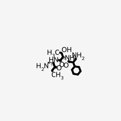 CCC(=O)[C@H](CN)NC(=O)[C@@H](NC(=O)C(CN)C1CCCCC1)C(C)O